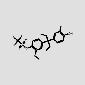 CCC(CC)(c1ccc(O)c(C)c1)c1ccc(OS(=O)(=O)C(F)(F)F)c(OC)c1